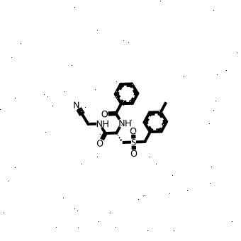 Cc1ccc(CS(=O)(=O)C[C@@H](NC(=O)c2ccccc2)C(=O)NCC#N)cc1